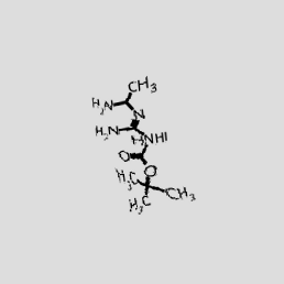 CC(N)/N=C(\N)NC(=O)OC(C)(C)C.I